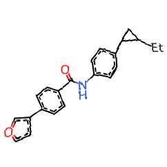 CCC1CC1c1ccc(NC(=O)c2ccc(-c3ccoc3)cc2)cc1